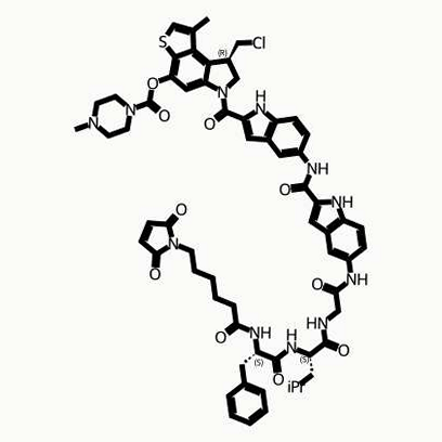 Cc1csc2c(OC(=O)N3CCN(C)CC3)cc3c(c12)[C@@H](CCl)CN3C(=O)c1cc2cc(NC(=O)c3cc4cc(NC(=O)CNC(=O)[C@H](CC(C)C)NC(=O)[C@H](Cc5ccccc5)NC(=O)CCCCCN5C(=O)C=CC5=O)ccc4[nH]3)ccc2[nH]1